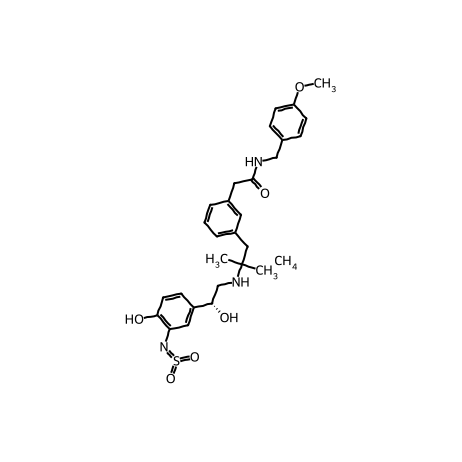 C.COc1ccc(CNC(=O)Cc2cccc(CC(C)(C)NC[C@H](O)c3ccc(O)c(N=S(=O)=O)c3)c2)cc1